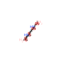 BC(=O)OCCCNC(=O)OCCCCCOC(=O)NCCCOC(B)=O